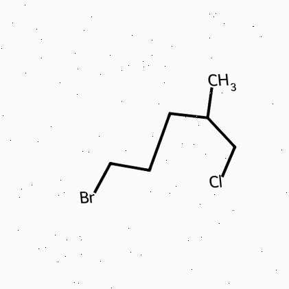 CC(CCl)CCCBr